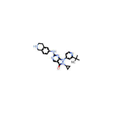 CC(C)(C#N)c1cc(-n2c3nc(Nc4ccc5c(c4)CCNC5)ncc3c(=O)n2C2CC2)ccn1